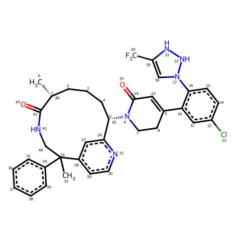 C[C@@H]1CCC[C@H](N2CCC(c3cc(Cl)ccc3N3C=C(C(F)(F)F)NN3)=CC2=O)c2cc(ccn2)C(C)(c2ccccc2)CNC1=O